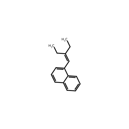 CCC(=Cc1cccc2ccccc12)CC